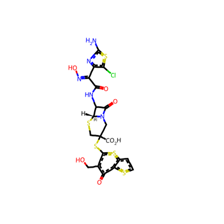 Nc1nc(C(=NO)C(=O)NC2C(=O)N3CC(Sc4sc5ccsc5c(=O)c4CO)(C(=O)O)CS[C@H]23)c(Cl)s1